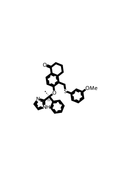 COc1cccc(SCc2c(O[C@@](C)(c3ccccc3)c3ncc[nH]3)ccc3c2CCCC3=O)c1